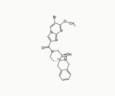 COc1nc2nc(C(=O)N3CC[C@]4(Cc5ccccc5CN4)[C@H](O)C3)cn2cc1Br